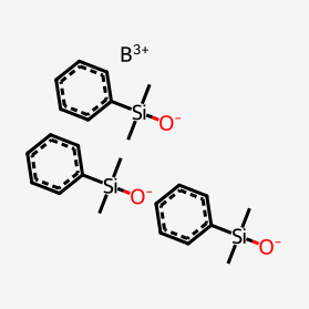 C[Si](C)([O-])c1ccccc1.C[Si](C)([O-])c1ccccc1.C[Si](C)([O-])c1ccccc1.[B+3]